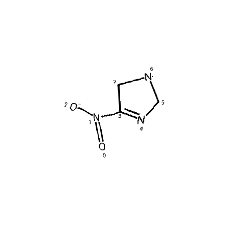 O=[N+]([O-])C1=NC[N]C1